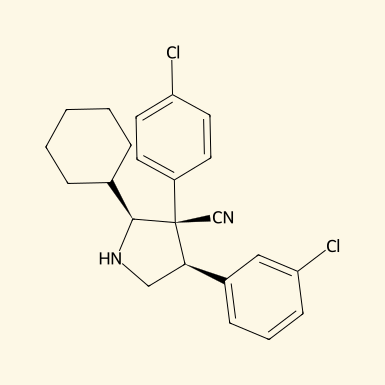 N#C[C@@]1(c2ccc(Cl)cc2)[C@@H](c2cccc(Cl)c2)CN[C@H]1C1CCCCC1